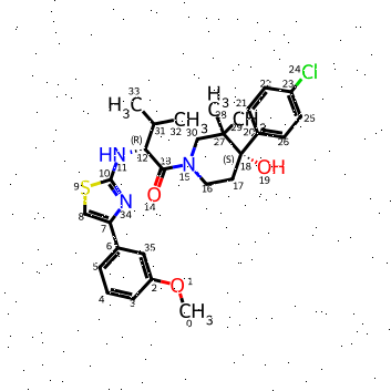 COc1cccc(-c2csc(N[C@@H](C(=O)N3CC[C@](O)(c4ccc(Cl)cc4)C(C)(C)C3)C(C)C)n2)c1